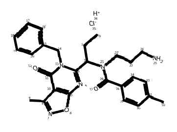 CCC(c1nc2onc(C)c2c(=O)n1Cc1ccccc1)N(CCCN)C(=O)c1ccc(C)cc1.[Cl-].[H+]